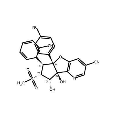 CC1C=CC=CC1[C@@H]1[C@@H](S(C)(=O)=O)[C@@H](O)[C@@]2(O)c3ncc(C#N)cc3O[C@@]12c1ccc(C#N)cc1